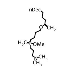 C=C(CCCCCCCCCCCCC)OCCCCP(=C)(CCCN(C)C)OC